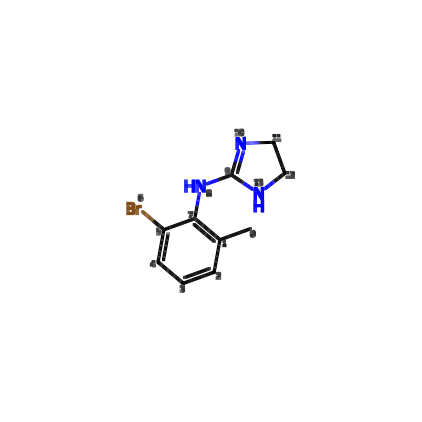 Cc1cccc(Br)c1NC1=NCCN1